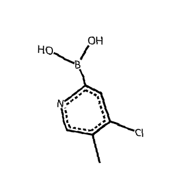 Cc1cnc(B(O)O)cc1Cl